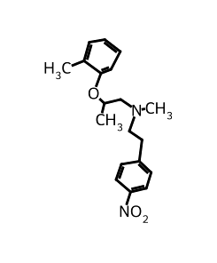 Cc1ccccc1OC(C)CN(C)CCc1ccc([N+](=O)[O-])cc1